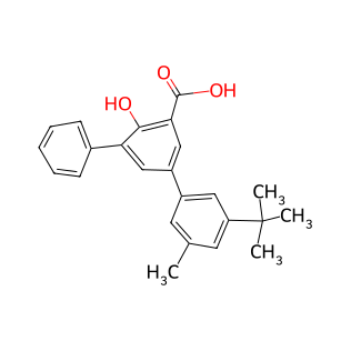 Cc1cc(-c2cc(C(=O)O)c(O)c(-c3ccccc3)c2)cc(C(C)(C)C)c1